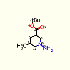 CC1CC(C(=O)OC(C)(C)C)CN(N)C1